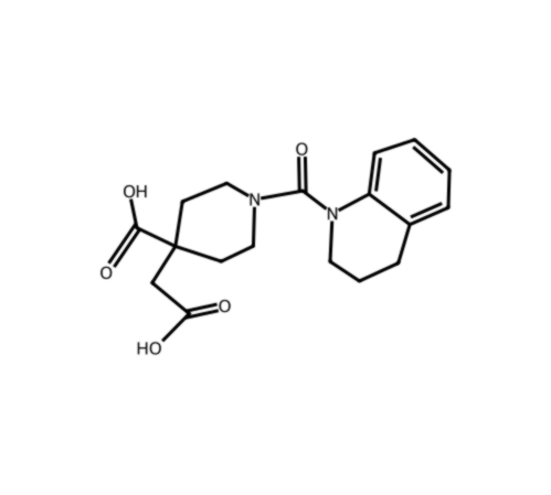 O=C(O)CC1(C(=O)O)CCN(C(=O)N2CCCc3ccccc32)CC1